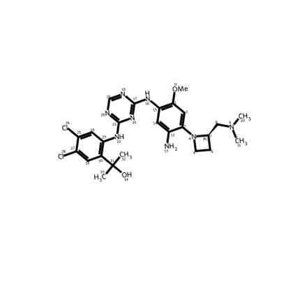 COc1cc(N2CC[C@@H]2CN(C)C)c(N)cc1Nc1ncnc(Nc2cc(Cl)c(Cl)cc2C(C)(C)O)n1